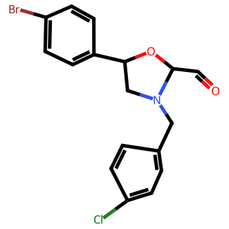 O=CC1OC(c2ccc(Br)cc2)CN1Cc1ccc(Cl)cc1